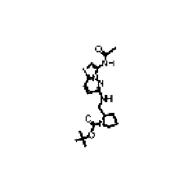 CC(=O)Nc1cnc2ccc(NCC3CCCN3C(=O)OC(C)(C)C)nn12